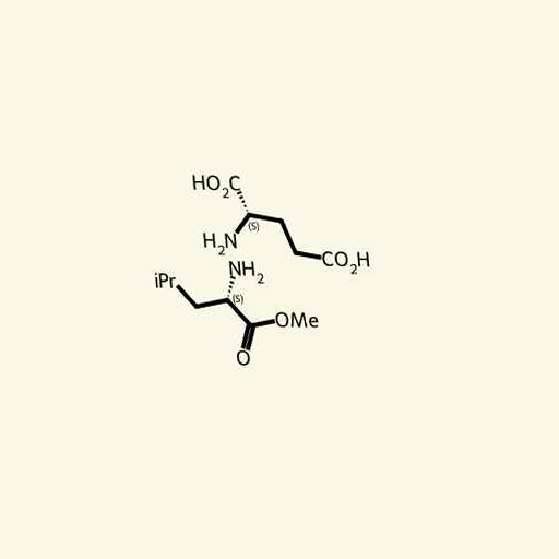 COC(=O)[C@@H](N)CC(C)C.N[C@@H](CCC(=O)O)C(=O)O